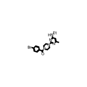 CCNc1cc(C)nc(N2CCN(C(=O)c3ccc(Br)cc3)CC2)n1